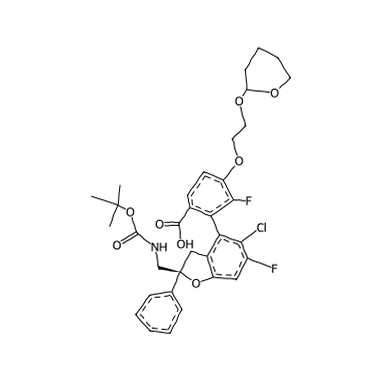 CC(C)(C)OC(=O)NC[C@@]1(c2ccccc2)Cc2c(cc(F)c(Cl)c2-c2c(C(=O)O)ccc(OCCOC3CCCCO3)c2F)O1